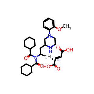 COc1ccccc1N1CCNC(CC(C)N(C(=O)C2CCCCC2)C(=O)C2CCCCC2)C1.O=C(O)/C=C/C(=O)O